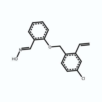 C=Cc1cc(Cl)ccc1COc1ccccc1/C=N/O